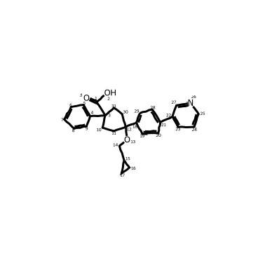 O=C(O)C1(c2ccccc2)CCC(OCC2CC2)(c2ccc(-c3cccnc3)cc2)CC1